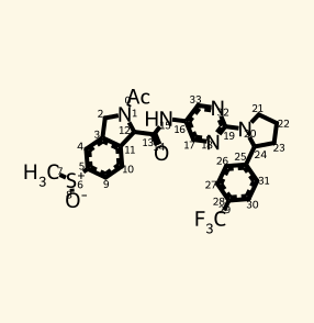 CC(=O)N1Cc2cc([S+](C)[O-])ccc2C1C(=O)Nc1cnc(N2CCCC2c2ccc(C(F)(F)F)cc2)nc1